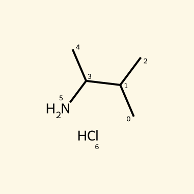 CC(C)C(C)N.Cl